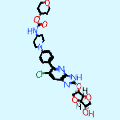 O=C(NC1CCN(c2ccc(-c3nc4[nH]c(O[C@@H]5CO[C@H]6[C@@H]5OC[C@H]6O)nc4cc3Cl)cc2)CC1)OC1CCOCC1